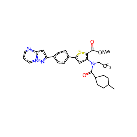 COC(=O)c1sc(-c2ccc(-c3cc4ncccn4n3)cc2)cc1N(CC(F)(F)F)C(=O)C1CCC(C)CC1